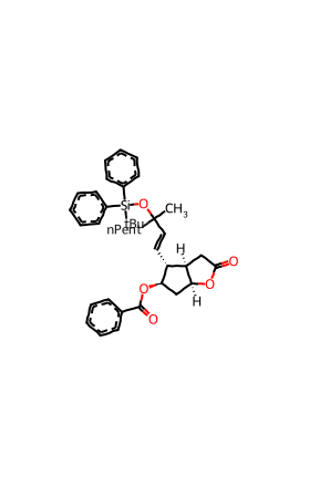 CCCCCC(C)(C=C[C@@H]1[C@H]2CC(=O)O[C@H]2C[C@H]1OC(=O)c1ccccc1)O[Si](c1ccccc1)(c1ccccc1)C(C)(C)C